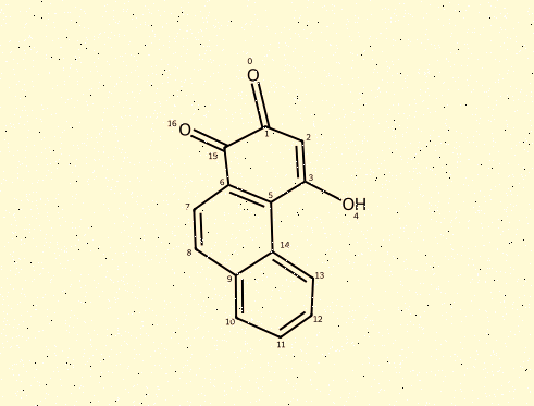 O=C1C=C(O)c2c(ccc3ccccc23)C1=O